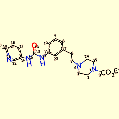 CCOC(=O)N1CCN(CCc2cccc(NC(=O)Nc3ccc(C)nc3)c2)CC1